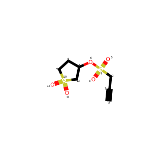 C#CCS(=O)(=O)OC1CCS(=O)(=O)C1